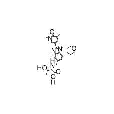 Cc1cc(-c2nc3cc(CN[C@H](C(=O)O)[C@@H](C)O)ccc3n2C[C@H]2CCCOC2)cn(C)c1=O